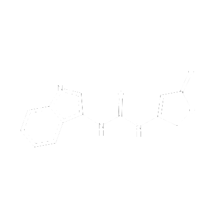 O=C(NC1=CC(=O)OC1)Nc1c[nH]c2ccccc12